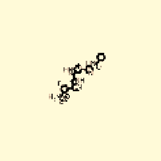 CS(=O)(=O)C(N)c1cc(F)cc(-c2ccnc3[nH]c(-c4n[nH]c5cnc(-c6cncc(NC(=O)C7CCCCC7)c6)cc45)cc23)c1